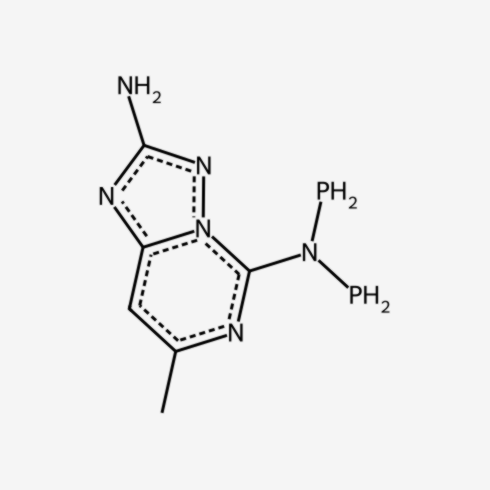 Cc1cc2nc(N)nn2c(N(P)P)n1